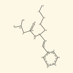 CCCCCC(C=Cc1ccccc1)OC(=O)CC(C)C